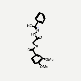 COc1ccc(C(=O)NCC(=O)N/N=C(\C#N)c2ccccc2)cc1OC